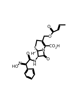 C/C=C/C(=O)OCC1=C(C(=O)O)N2C(=O)[C@@H](NC(=O)/C(=N/O)c3ccccc3)[C@H]2SC1